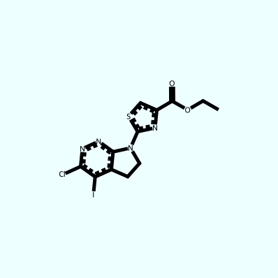 CCOC(=O)c1csc(N2CCc3c2nnc(Cl)c3I)n1